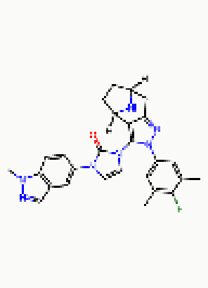 Cc1cc(-n2nc3c(c2-n2ccn(-c4ccc5c(cnn5C)c4)c2=O)[C@@H]2CC[C@H](C3)N2)cc(C)c1F